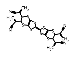 C=C(C#N)C1SC2=C(SC(=C3SC4=C(S3)SC(C(=C)C#N)C(C(=C)C#N)S4)S2)SC1C(=C)C#N